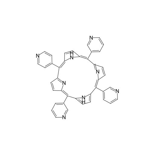 C1=Cc2nc1c(-c1ccncc1)c1ccc([nH]1)c(-c1cccnc1)c1nc(c(-c3cccnc3)c3ccc([nH]3)c2-c2cccnc2)C=C1